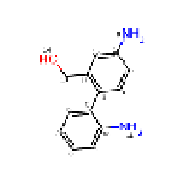 Nc1ccc(-c2ccccc2N)c(CO)c1